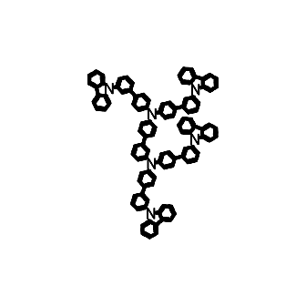 c1cc(-c2ccc(N(c3ccc(-c4cccc(-n5c6ccccc6c6ccccc65)c4)cc3)c3ccc(-c4cccc(-n5c6ccccc6c6ccccc65)c4)cc3)cc2)cc(N(c2ccc(-c3cccc(-n4c5ccccc5c5ccccc54)c3)cc2)c2ccc(-c3cccc(-n4c5ccccc5c5ccccc54)c3)cc2)c1